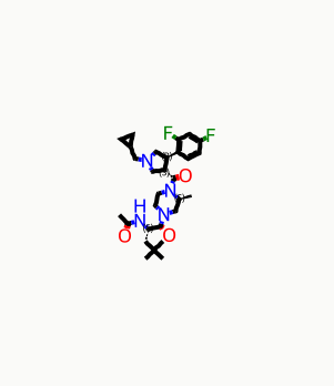 CC(=O)N[C@@H](CC(C)(C)C)C(=O)N1CCN(C(=O)[C@@H]2CN(CC3CC3)C[C@H]2c2ccc(F)cc2F)[C@@H](C)C1